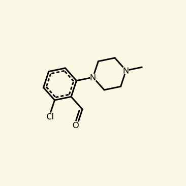 CN1CCN(c2cccc(Cl)c2C=O)CC1